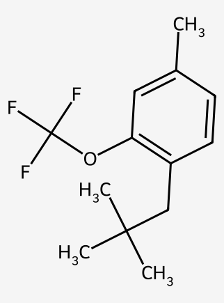 Cc1ccc(CC(C)(C)C)c(OC(F)(F)F)c1